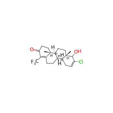 C[C@]12CCC(=O)C(C(F)(F)F)=C1CC[C@@H]1[C@@H]2CC[C@]2(C)C(O)C(Cl)=CC[C@@H]12